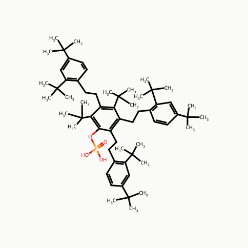 CC(C)(C)c1ccc(CCc2c(CCc3ccc(C(C)(C)C)cc3C(C)(C)C)c(C(C)(C)C)c(CCc3ccc(C(C)(C)C)cc3C(C)(C)C)c(C(C)(C)C)c2OP(=O)(O)O)c(C(C)(C)C)c1